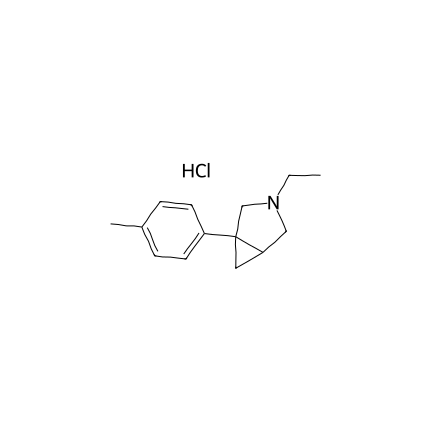 CCN1CC2CC2(c2ccc(C)cc2)C1.Cl